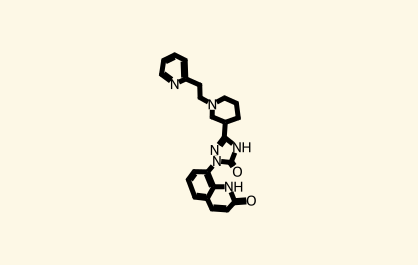 O=c1ccc2cccc(-n3nc(C4CCCN(CCc5ccccn5)C4)[nH]c3=O)c2[nH]1